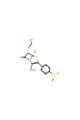 C[S+]([O-])c1ccc(C2=C(C(=O)O)N3C(=O)[C@H](CCO)[C@H]3S2)cc1